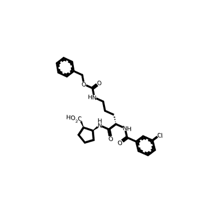 O=C(NCCC[C@H](NC(=O)c1cccc(Cl)c1)C(=O)N[C@H]1CCC[C@H]1C(=O)O)OCc1ccccc1